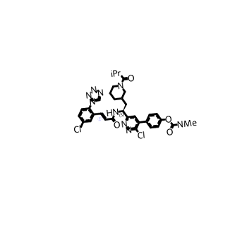 CNC(=O)Oc1ccc(-c2cc([C@H](CC3CCCN(C(=O)C(C)C)C3)NC(=O)/C=C/c3cc(Cl)ccc3-n3cnnn3)nnc2Cl)cc1